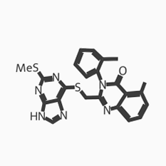 CSc1nc(SCc2nc3cccc(C)c3c(=O)n2-c2ccccc2C)c2nc[nH]c2n1